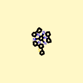 N#Cc1c(-n2c3ccccc3c3ccccc32)c(C#N)c(-n2c3ccccc3c3c4sc5ccccc5c4ccc32)c(C#N)c1-n1c2ccccc2c2ccccc21